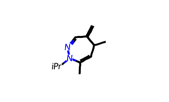 C=C1C=NN(C(C)C)C(C)=CC1C